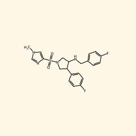 Cn1cnc(S(=O)(=O)N2CC(NCc3ccc(F)cc3)C(c3ccc(F)cc3)C2)c1